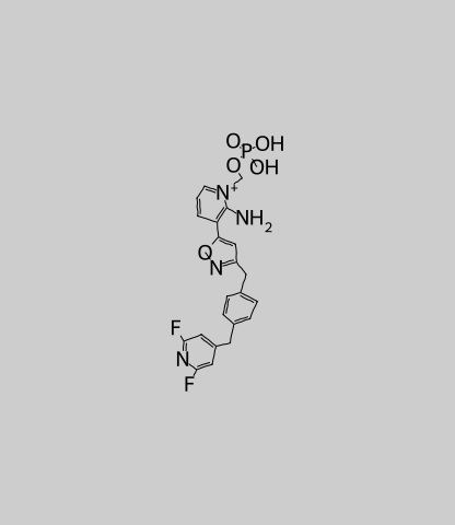 Nc1c(-c2cc(Cc3ccc(Cc4cc(F)nc(F)c4)cc3)no2)ccc[n+]1COP(=O)(O)O